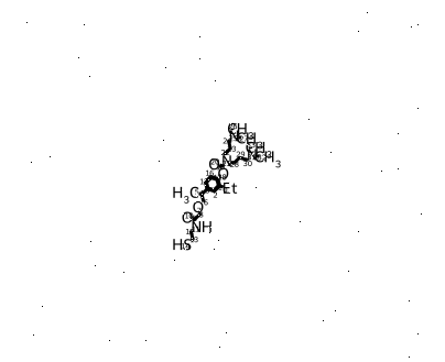 CCc1cc(C(C)COCC(=O)NCCS)ccc1OC(=O)N(CCCN(C)C)CCCN(C)C